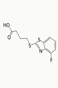 O=C(O)CCCSc1nc2c(F)cccc2s1